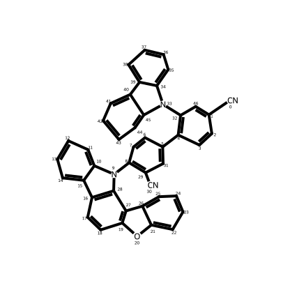 N#Cc1ccc(-c2ccc(-n3c4ccccc4c4ccc5oc6ccccc6c5c43)c(C#N)c2)c(-n2c3ccccc3c3ccccc32)c1